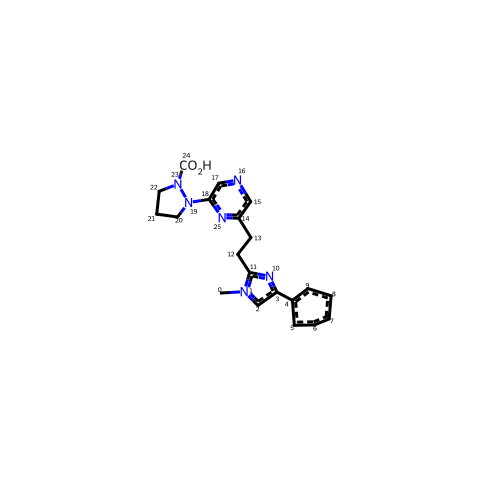 Cn1cc(-c2ccccc2)nc1CCc1cncc(N2CCCN2C(=O)O)n1